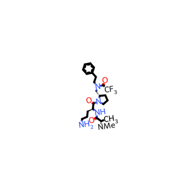 CN[C@@H](C)C(=O)N[C@@H](CCCN)C(=O)N1CCC[C@H]1CN(CCc1ccccc1)C(=O)C(F)(F)F